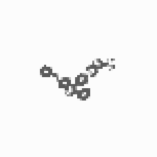 COC(OC)C1COC2(CCN(c3ccc(C4=C(c5ccccc5)COc5cc(OCc6ccccc6)ccc54)cc3)CC2)C1